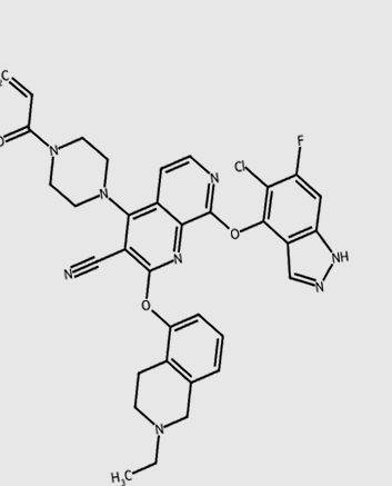 C=CC(=O)N1CCN(c2c(C#N)c(Oc3cccc4c3CCN(CC)C4)nc3c(Oc4c(Cl)c(F)cc5[nH]ncc45)nccc23)CC1